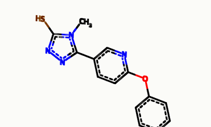 Cn1c(S)nnc1-c1ccc(Oc2ccccc2)nc1